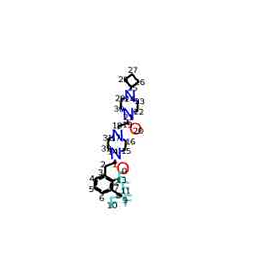 O=C(Cc1cccc(C(F)(F)F)c1F)N1CCN(CC(=O)N2CCN(C3CCC3)CC2)CC1